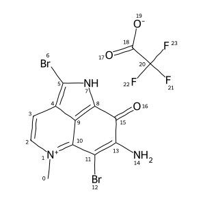 C[n+]1ccc2c(Br)[nH]c3c2c1C(Br)=C(N)C3=O.O=C([O-])C(F)(F)F